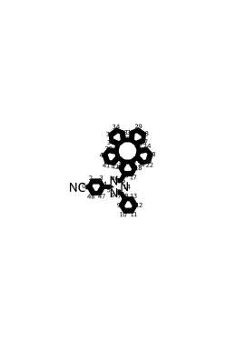 N#Cc1ccc(-c2nc(-c3ccccc3)nc(-c3ccc4c5ccccc5c5ccccc5c5ccccc5c5ccccc5c4c3)n2)cc1